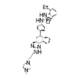 CCc1cccc(C(C)C)c1NC(=O)Nc1ccc(C2Cc3cnc(NCCCN4CCN(C)CC4)nc3-c3ccccc32)cc1